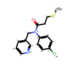 CCCCSCCC(=O)N(Cc1cccnc1)c1ccc(Cl)cc1